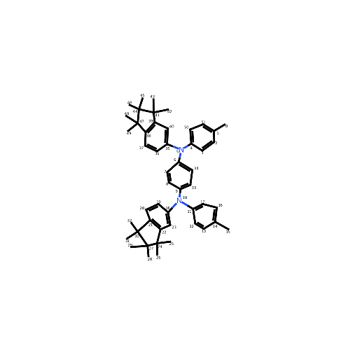 Cc1ccc(N(c2ccc(N(c3ccc(C)cc3)c3ccc4c(c3)C(C)(C)C(C)(C)C4(C)C)cc2)c2ccc3c(c2)C(C)(C)C(C)(C)C3(C)C)cc1